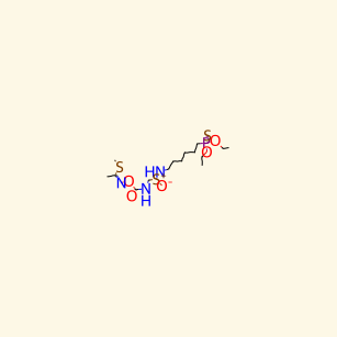 CCOP(=S)(CCCCCCN[S+]([O-])CNC(=O)ON=C(C)SC)OCC